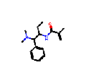 C=C(C)C(=O)NC(CC)C(c1ccccc1)N(C)C